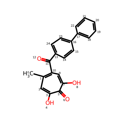 Cc1cc(O)c(=O)c(O)cc1C(=O)c1ccc(-c2ccccc2)cc1